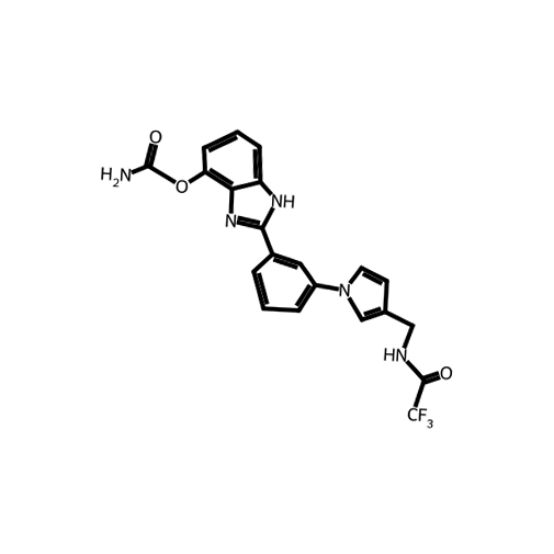 NC(=O)Oc1cccc2[nH]c(-c3cccc(-n4ccc(CNC(=O)C(F)(F)F)c4)c3)nc12